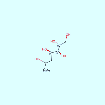 CNC(O)C[C@@H](O)[C@H](O)[C@H](O)CO